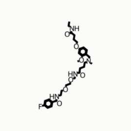 CCNC(=O)CCCOc1ccc(CN(C)CCCC(=O)NCOCCOCCNC(=O)c2ccc(F)cc2)c(OC)c1